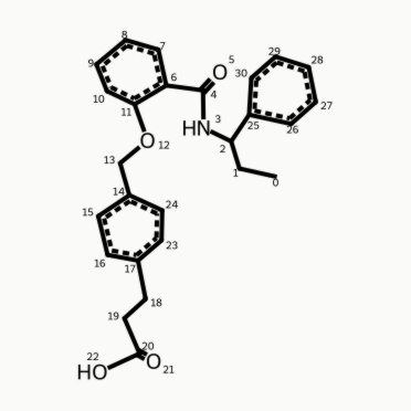 CCC(NC(=O)c1ccccc1OCc1ccc(CCC(=O)O)cc1)c1ccccc1